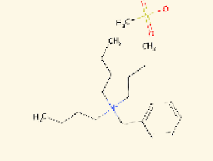 CCCC[N+](CCCC)(CCCC)Cc1ccccc1.CS(=O)(=O)[O-]